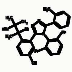 CCCCC(C)(C)C(C)(CC)c1ccc(C#N)cc1-c1nnc(-c2ccccc2C)n1-c1c(C(C)C)cccc1C(C)C